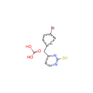 O=C(O)O.Sc1nccc(Cc2ccc(Br)cc2)n1